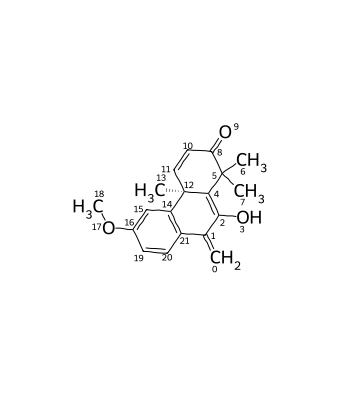 C=C1C(O)=C2C(C)(C)C(=O)C=C[C@]2(C)c2cc(OC)ccc21